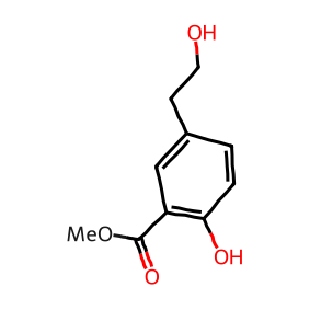 COC(=O)c1cc(CCO)ccc1O